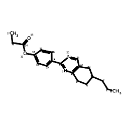 CCCC1CCc2nc(-c3ccc(OC(=O)CC)cc3)ncc2C1